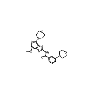 COc1cnc(N2CCOCC2)c2sc(NC(=O)c3cccc(N4CCOCC4)c3)nc12